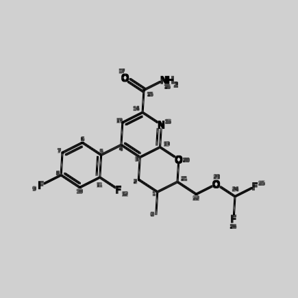 CC1Cc2c(-c3ccc(F)cc3F)cc(C(N)=O)nc2OC1COC(F)F